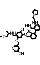 CC(CO)NCc1cc(Cl)c(OCc2cccc(-c3cccc(NCCN4CCCC4)c3C=N)c2Br)cc1OCc1cncc(C#N)c1